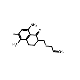 C=CCOCC1CCc2c(C)c(F)cc(N)c2C1=O